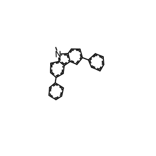 Cn1c2ccc(-c3ccccc3)cc2c2cc(-c3ccccc3)ccc21